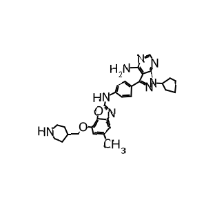 Cc1cc(OCC2CCNCC2)c2oc(Nc3ccc(-c4nn(C5CCCC5)c5ncnc(N)c45)cc3)nc2c1